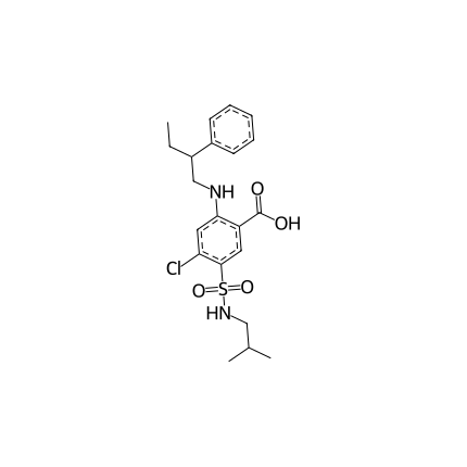 CCC(CNc1cc(Cl)c(S(=O)(=O)NCC(C)C)cc1C(=O)O)c1ccccc1